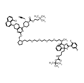 CN(CCOCCOCCOCCOCCCN1CCC[C@H]1COc1nc2c(c(N3CCN(C(=O)OCC[Si](C)(C)C)[C@@H](CC#N)C3)n1)CCN(c1cccc3cccc(Cl)c13)C2)C(=O)N1N=C(c2cc(F)ccc2F)SC1(CCCNC(=O)OC(C)(C)C)c1ccccc1